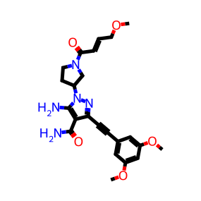 COC/C=C/C(=O)N1CCC(n2nc(C#Cc3cc(OC)cc(OC)c3)c(C(N)=O)c2N)C1